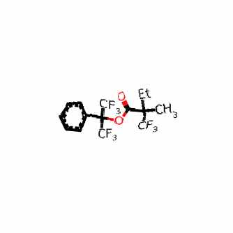 CCC(C)(C(=O)OC(c1ccccc1)(C(F)(F)F)C(F)(F)F)C(F)(F)F